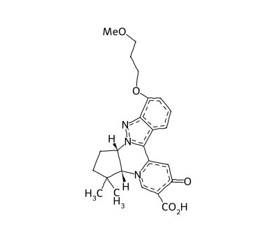 COCCCOc1cccc2c3n(nc12)[C@H]1CCC(C)(C)[C@H]1n1cc(C(=O)O)c(=O)cc1-3